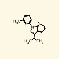 Cc1cccc(-n2nc(C(C)C)c3cccnc32)c1